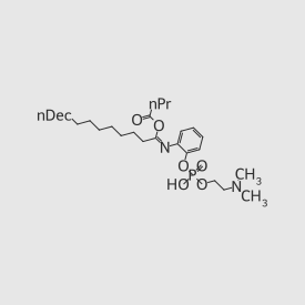 CCCCCCCCCCCCCCCCCC(=Nc1ccccc1OP(=O)(O)OCCN(C)C)OC(=O)CCC